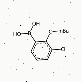 CCCCOc1c(Cl)cccc1B(O)O